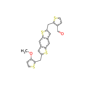 COc1ccsc1Cc1cc2cc3sc(Cc4sccc4C=O)cc3cc2s1